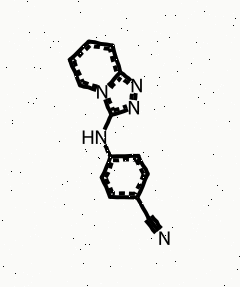 N#Cc1ccc(Nc2nnc3ccccn23)cc1